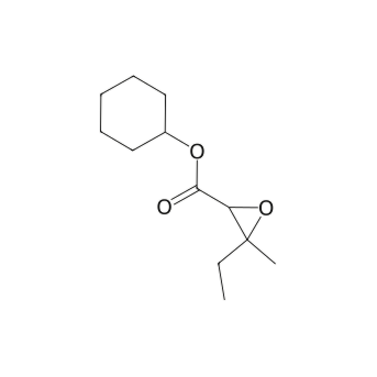 CCC1(C)OC1C(=O)OC1CCCCC1